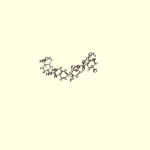 CNC1CCC(NC2=Nc3ccc(-c4c(F)ccc(NS(=O)(=O)c5cc(Cl)cnc5OC)c4F)cc3CN2)CC1